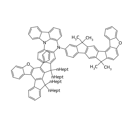 CCCCCCCC1(CCCCCCC)c2cc(N(c3ccc4c(c3)C(C)(C)c3cc5c(cc3-4)C(C)(C)c3ccc4oc6ccccc6c4c3-5)c3cccc4c5ccccc5n(-c5ccccc5)c34)ccc2-c2c1c1c(c3c2oc2ccccc23)-c2ccccc2C1(CCCCCCC)CCCCCCC